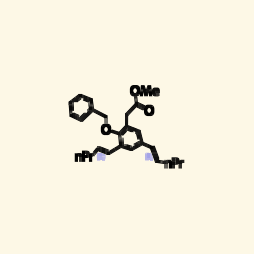 CCC/C=C/c1cc(/C=C/CCC)c(OCc2ccccc2)c(CC(=O)OC)c1